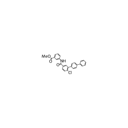 COC(=O)c1cccc(NC(=O)c2ccc(Cl)c(-c3ccc(-c4ccccc4)cc3)c2)c1